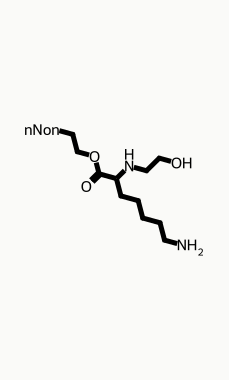 CCCCCCCCCCCOC(=O)C(CCCCCN)NCCO